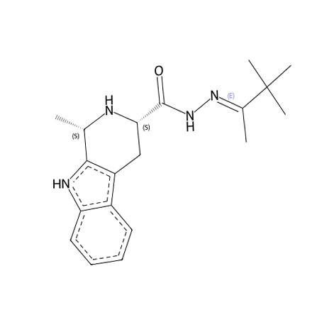 C/C(=N\NC(=O)[C@@H]1Cc2c([nH]c3ccccc23)[C@H](C)N1)C(C)(C)C